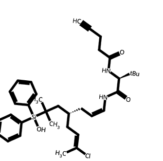 C#CCCC(=O)N[C@H](C(=O)N/C=C\C[C@H](C/C=C(\C)Cl)CC(C)(C)[Si](O)(c1ccccc1)c1ccccc1)C(C)(C)C